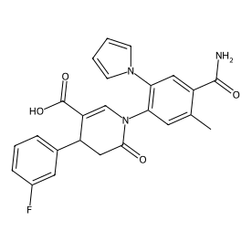 Cc1cc(N2C=C(C(=O)O)C(c3cccc(F)c3)CC2=O)c(-n2cccc2)cc1C(N)=O